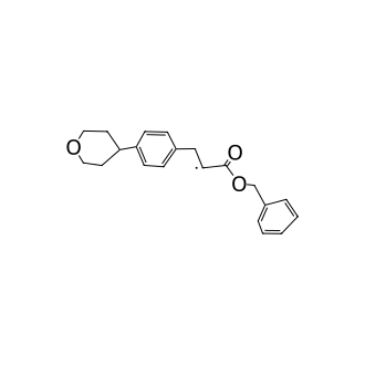 O=C([CH]Cc1ccc(C2CCOCC2)cc1)OCc1ccccc1